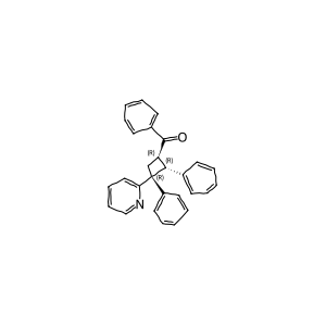 O=C(c1ccccc1)[C@@H]1C[C@@](c2ccccc2)(c2ccccn2)[C@H]1c1ccccc1